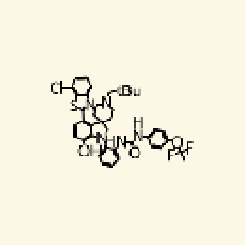 CC(C)(C)CN1CCC2(CC1)CN(c1ccccc1NC(=O)Nc1ccc(OC(C)(F)F)cc1)c1c(O)ccc(-c3nc4cccc(Cl)c4s3)c12